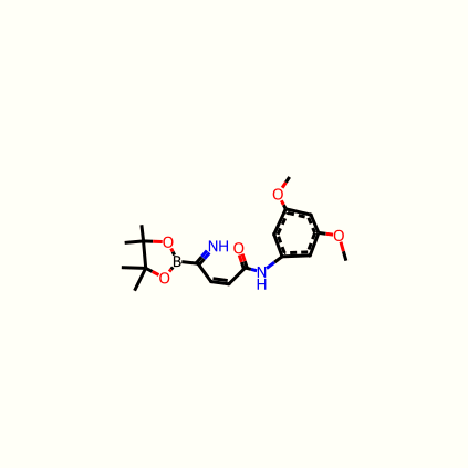 COc1cc(NC(=O)/C=C\C(=N)B2OC(C)(C)C(C)(C)O2)cc(OC)c1